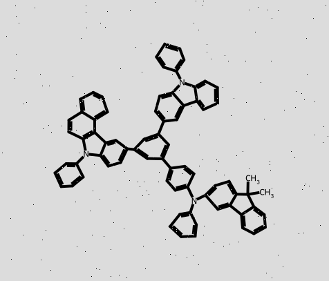 CC1(C)c2ccccc2-c2cc(N(c3ccccc3)c3ccc(-c4cc(-c5ccc6c(c5)c5ccccc5n6-c5ccccc5)cc(-c5ccc6c(c5)c5c7ccccc7ccc5n6-c5ccccc5)c4)cc3)ccc21